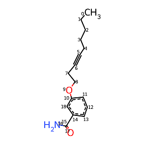 CCCCCC#CCCOc1cccc(C(N)=O)c1